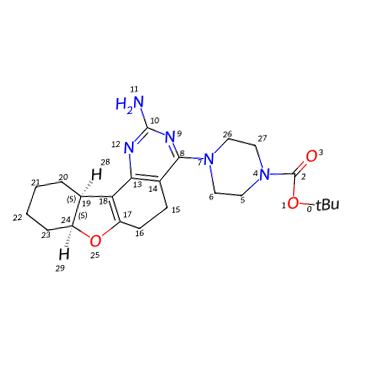 CC(C)(C)OC(=O)N1CCN(c2nc(N)nc3c2CCC2=C3[C@@H]3CCCC[C@@H]3O2)CC1